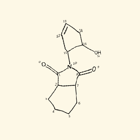 O=C1C2CCCCC2C(=O)N1C1C=CCC1O